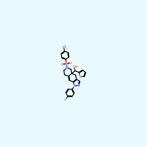 O=S(=O)(c1ccc(C(F)(F)F)cc1)N1CCC2=Cc3c(cnn3-c3ccc(F)cc3)CC2(C(O)c2cccs2)C1